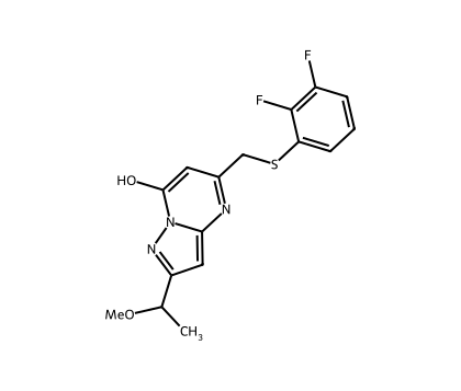 COC(C)c1cc2nc(CSc3cccc(F)c3F)cc(O)n2n1